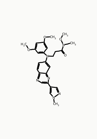 COc1cc(OC)cc(N(CCC(=O)N(C)OC)c2ccc3ncc(-c4cnn(C)c4)nc3c2)c1